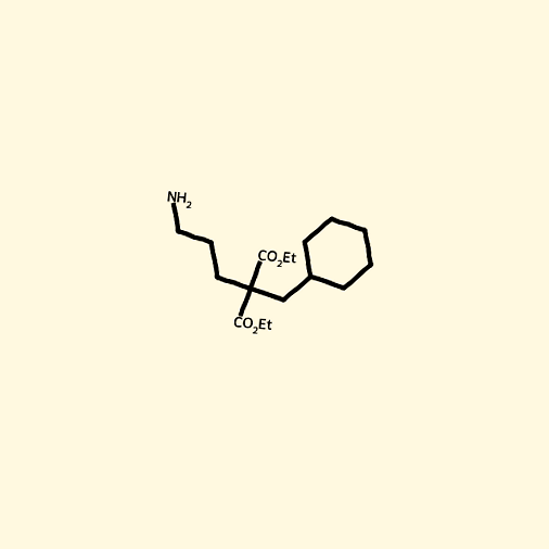 CCOC(=O)C(CCCN)(CC1CCCCC1)C(=O)OCC